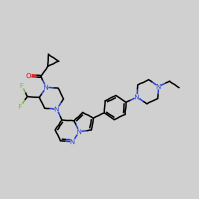 CCN1CCN(c2ccc(-c3cc4c(N5CCN(C(=O)C6CC6)C(C(F)F)C5)ccnn4c3)cc2)CC1